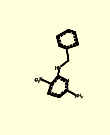 Nc1ccc([N+](=O)[O-])c(NCc2ccccc2)n1